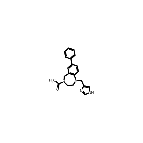 CC(=O)N1CCN(Cc2c[nH]cn2)c2ccc(-c3ccccc3)cc2C1